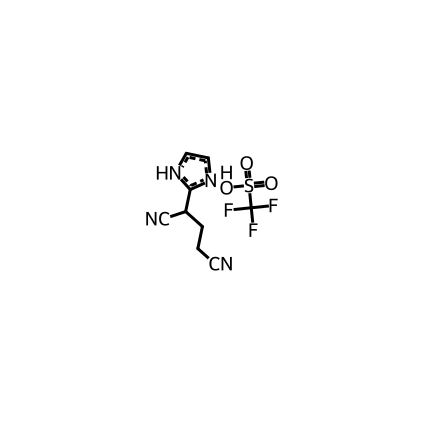 N#CCCC(C#N)c1ncc[nH]1.O=S(=O)(O)C(F)(F)F